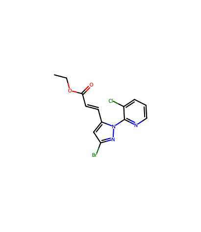 CCOC(=O)/C=C/c1cc(Br)nn1-c1ncccc1Cl